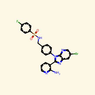 Nc1ncccc1-c1nc2cc(Br)cnc2n1-c1ccc(CNS(=O)(=O)c2ccc(F)cc2)cc1